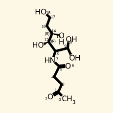 CC(=O)CCC(=O)NC(C(O)O)[C@@H](O)[C@H](O)CCO